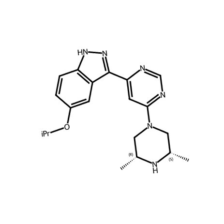 CC(C)Oc1ccc2[nH]nc(-c3cc(N4C[C@@H](C)N[C@@H](C)C4)ncn3)c2c1